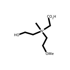 COCC[N+](C)(CCO)CC(=O)O